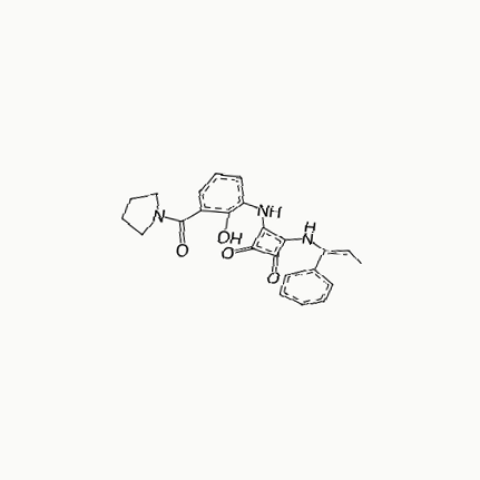 C/C=C(/Nc1c(Nc2cccc(C(=O)N3CCCC3)c2O)c(=O)c1=O)c1ccccc1